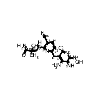 CC1=N/C(=N/O)C(=N)C(N)=C1Cc1ccc(C#N)c(NCC(C)(C)C(N)=O)n1